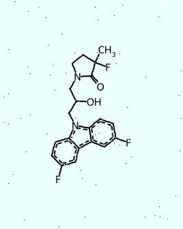 CC1(F)CCN(CC(O)Cn2c3ccc(F)cc3c3cc(F)ccc32)C1=O